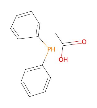 CC(=O)O.c1ccc(Pc2ccccc2)cc1